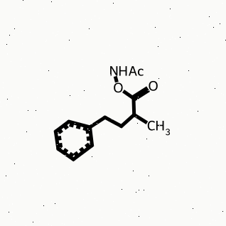 CC(=O)NOC(=O)C(C)CCc1ccccc1